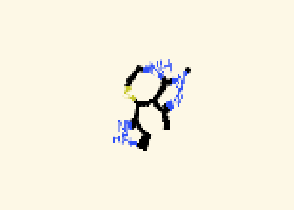 Cc1nn(C)c2c1C(c1cc[nH]n1)SCCN2